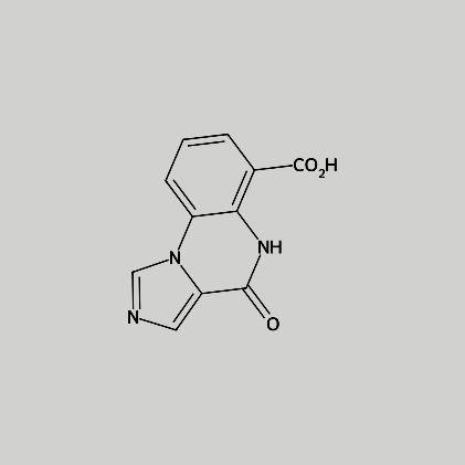 O=C(O)c1cccc2c1[nH]c(=O)c1cncn12